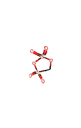 O=S1(=O)COS(=O)(=O)O1